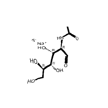 CC(=O)N[C@@H](C=O)[C@@H](O)[C@H](O)[C@H](O)CO.[Na+].[S-]